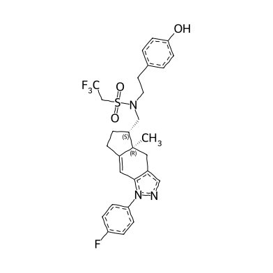 C[C@]12Cc3cnn(-c4ccc(F)cc4)c3C=C1CC[C@@H]2CN(CCc1ccc(O)cc1)S(=O)(=O)CC(F)(F)F